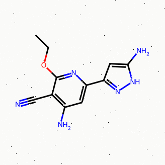 CCOc1nc(-c2cc(N)[nH]n2)cc(N)c1C#N